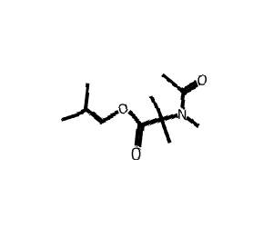 CC(=O)N(C)C(C)(C)C(=O)OCC(C)C